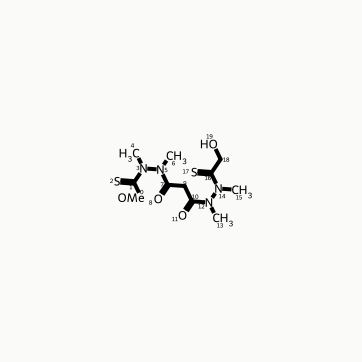 COC(=S)N(C)N(C)C(=O)CC(=O)N(C)N(C)C(=S)CO